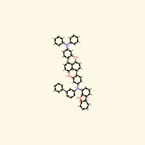 c1ccc(-c2cccc(N(c3ccc4c(c3)Oc3ccc5c6c(ccc-4c36)Oc3cc(N(c4ccccc4)c4ccccc4)ccc3-5)c3cccc4c3oc3ccccc34)c2)cc1